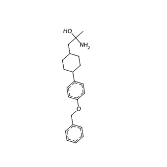 CC(N)(O)CC1CCC(c2ccc(OCc3ccccc3)cc2)CC1